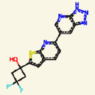 OC1(c2cc3ccc(-c4cnc5[nH]nnc5c4)nc3s2)CC(F)(F)C1